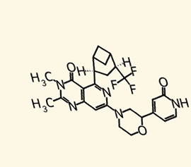 Cc1nc2cc(N3CCOC(c4cc[nH]c(=O)c4)C3)nc([C@@H]3C[C@H](C(F)(F)F)C4CC3C4)c2c(=O)n1C